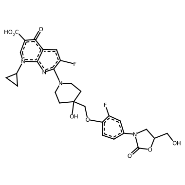 O=C(O)c1cn(C2CC2)c2nc(N3CCC(O)(COc4ccc(N5CC(CO)OC5=O)cc4F)CC3)c(F)cc2c1=O